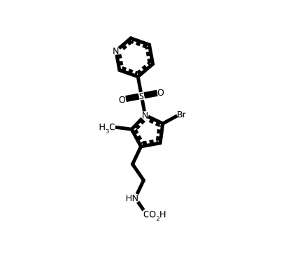 Cc1c(CCNC(=O)O)cc(Br)n1S(=O)(=O)c1cccnc1